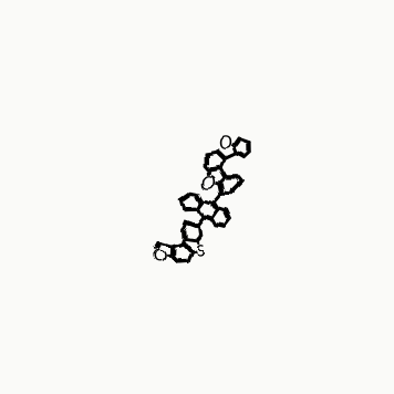 c1ccc2c(c1)oc1ccc3oc4c(-c5c6ccccc6c(-c6ccc7c(c6)sc6ccc8occc8c67)c6ccccc56)cccc4c3c12